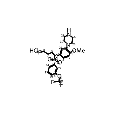 COc1ccc(N(CCCF)S(=O)(=O)c2cccc(OC(F)F)c2)cc1N1CCNCC1.Cl